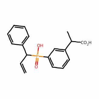 C=CC(c1ccccc1)P(=O)(O)c1cccc(C(C)C(=O)O)c1